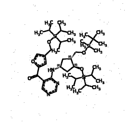 CC(C)[Si](OCc1coc(C(=O)c2cncnc2N[C@@H]2C[C@H](CO[Si](C)(C)C(C)(C)C)[C@@H](O[Si](C(C)C)(C(C)C)C(C)C)C2)c1)(C(C)C)C(C)C